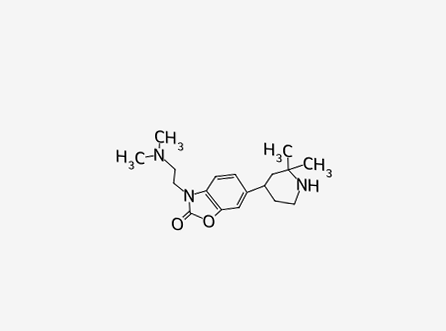 CN(C)CCn1c(=O)oc2cc(C3CCNC(C)(C)C3)ccc21